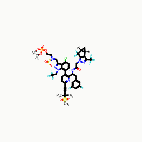 COP(=O)(OC)OCCN(Cc1nn(CC(F)(F)F)c2c(-c3ccc(C#CC(C)(C)S(C)(=O)=O)nc3C(Cc3cc(F)cc(F)c3)NC(=O)Cn3nc(C(F)(F)F)c4c3C(F)(F)[C@@H]3C[C@H]43)ccc(Cl)c12)[SH](=O)=O